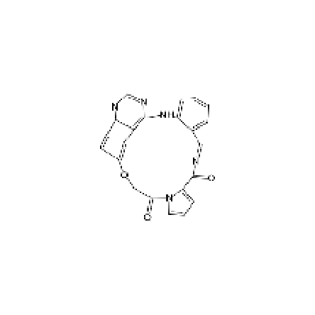 O=C1/N=C/c2ccccc2Nc2ncnc3ccc(cc23)OCC(=O)n2cccc21